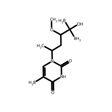 Bc1cn(C(C)CC(OC)C(B)(B)O)c(=O)[nH]c1=O